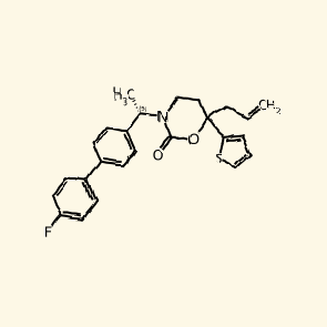 C=CCC1(c2cccs2)CCN([C@@H](C)c2ccc(-c3ccc(F)cc3)cc2)C(=O)O1